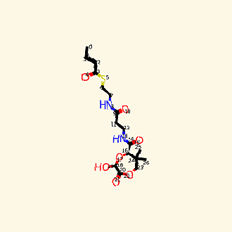 C/C=C/C(=O)SCCNC(=O)CCNC(=O)[C@@H]1OC(O)C(=O)OCC1(C)C